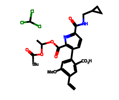 C=Cc1cc(C(=O)O)c(-c2ccc(C(=O)NCC3CC3)nc2C(=O)OC(C)OC(=O)C(C)(C)C)cc1OC.ClC(Cl)Cl